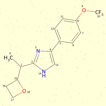 CC(c1nc(-c2ccc(OC(F)(F)F)cc2)c[nH]1)C1CCO1